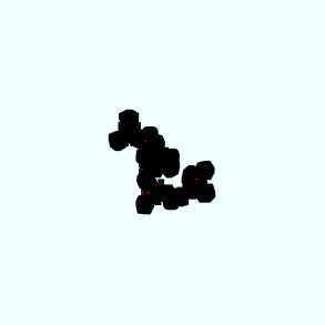 c1ccc(-c2nc(-c3ccccc3)nc(-c3ccc4c(c3)oc3ccc(-c5cc(-c6ccc(-c7cccc(-c8nc(-c9ccccc9)nc(-c9ccc%10c(c9)oc9ccc(-c%11cc(-c%12cccc%13c%12sc%12ccccc%12%13)c%12oc%13ccccc%13c%12c%11)cc9%10)n8)c7)c7sc8ccccc8c67)c6c(c5)oc5ccccc56)cc34)n2)cc1